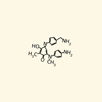 CC1=C(O)C(=Nc2ccc(CN)cc2)C=C(N(C)c2ccc(N)cc2)C1=O